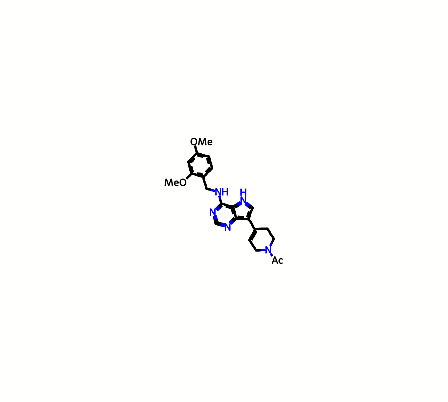 COc1ccc(CNc2ncnc3c(C4=CCN(C(C)=O)CC4)c[nH]c23)c(OC)c1